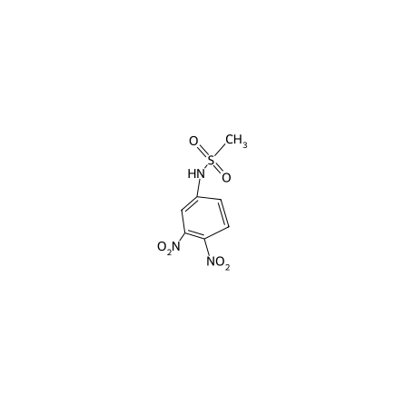 CS(=O)(=O)Nc1ccc([N+](=O)[O-])c([N+](=O)[O-])c1